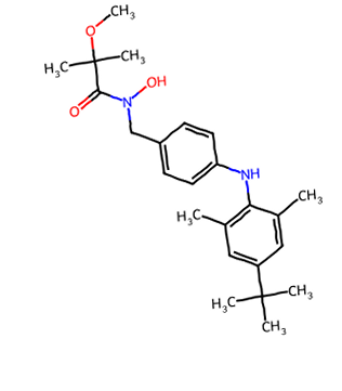 COC(C)(C)C(=O)N(O)Cc1ccc(Nc2c(C)cc(C(C)(C)C)cc2C)cc1